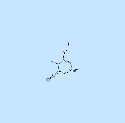 CCO[N+]1=CC=CC(=C=O)C1C.[Br-]